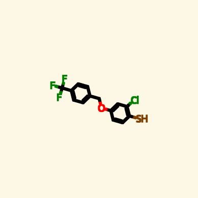 FC(F)(F)c1ccc(COc2ccc(S)c(Cl)c2)cc1